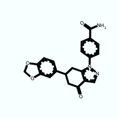 NC(=O)c1ccc(-n2ncc3c2CC(c2ccc4c(c2)OCO4)CC3=O)cc1